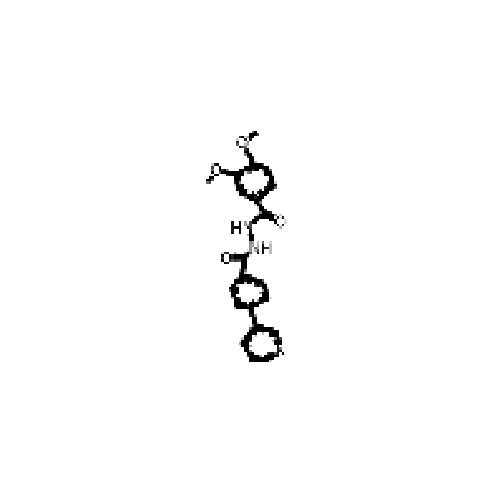 COc1ccc(C(=O)NNC(=O)c2ccc(-c3cccnc3)cc2)cc1OC